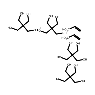 C=CC(=O)O.C=CC(=O)O.OCC(CO)(CO)CO.OCC(CO)(CO)CO.OCC(CO)(CO)CO.OCC(CO)(CO)CO